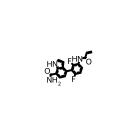 C=CC(=O)Nc1ccc(F)c(-c2ccc(C(N)=O)c3[nH]ccc23)c1F